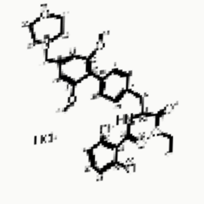 CCOC(=O)[C@H](Cc1ccc(-c2c(OC)cc(CN3CCOCC3)cc2OC)cc1)NC(=O)c1c(Cl)cccc1Cl.Cl